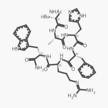 CCCC[C@H](NC(C)=O)C(=O)N[C@@H](C)C(=O)N[C@@H](Cc1cnc[nH]1)C(=O)N[C@H](Cc1ccccc1)C(=O)N[C@@H](CCCN=C(N)N)C(=O)N[C@@H](Cc1c[nH]c2ccccc12)C(N)=O